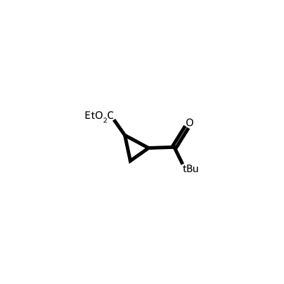 CCOC(=O)C1CC1C(=O)C(C)(C)C